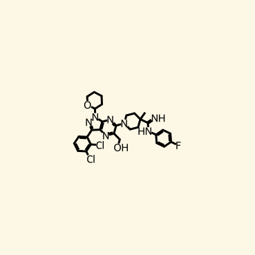 CC1(C(=N)Nc2ccc(F)cc2)CCN(c2nc3c(nc2CO)c(-c2cccc(Cl)c2Cl)nn3C2CCCCO2)CC1